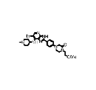 COCCN1CCN(c2ccc(-c3nc4c(NC5CCN(C)CC5)c(Br)cnc4[nH]3)cc2)CC1=O